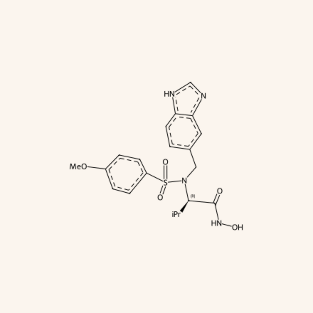 COc1ccc(S(=O)(=O)N(Cc2ccc3[nH]cnc3c2)[C@@H](C(=O)NO)C(C)C)cc1